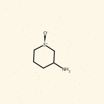 NC1CCC[S@@+]([O-])C1